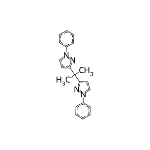 CC(C)(c1ccn(-c2ccccc2)n1)c1ccn(-c2ccccc2)n1